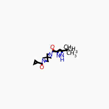 CC(C)(C)c1cc(C(=O)N2CC3(C2)CN(C(=O)C2CC2)C3)n[nH]1